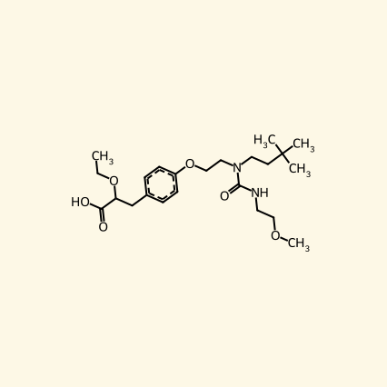 CCOC(Cc1ccc(OCCN(CCC(C)(C)C)C(=O)NCCOC)cc1)C(=O)O